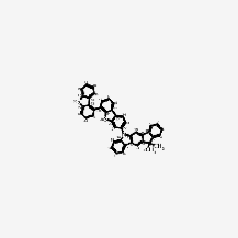 CC1(C)c2ccccc2-c2cc3c(cc21)c1ccccc1n3-c1ccc2c(c1)sc1c(-c3cccc4sc5ccccc5c34)cccc12